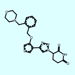 O=C1CCC(n2cc(-c3cscc3OCc3ccccc3CN3CCOCC3)nn2)C(=O)N1